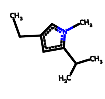 CCc1cc(C(C)C)n(C)c1